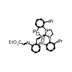 CCOC(=O)C=Nc1ccccc1[CH]=[Ru]([Cl])([Cl])=[C]1N(c2c(C(C)C)cccc2C(C)C)CCN1c1c(C(C)C)cccc1C(C)C